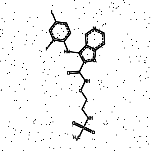 CS(=O)(=O)NCCONC(=O)c1oc2ccncc2c1Nc1ccc(I)cc1F